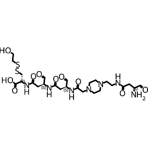 N[C@H](C=O)CC(=O)NCCN1CCN(CC(=O)N[C@H](C=O)CC(=O)N[C@H](C=O)CC(=O)N[C@@H](CSSCCO)C(=O)O)CC1